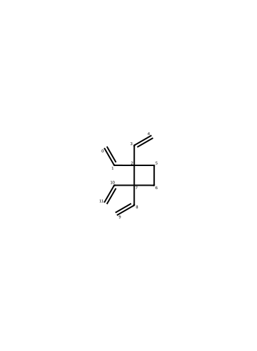 C=CC1(C=C)CCC1(C=C)C=C